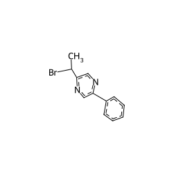 CC(Br)c1cnc(-c2ccccc2)cn1